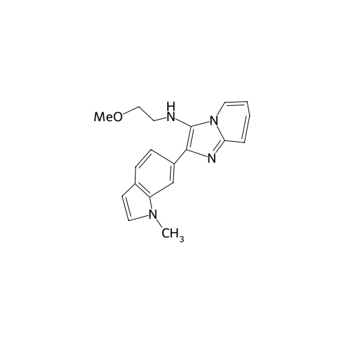 COCCNc1c(-c2ccc3ccn(C)c3c2)nc2ccccn12